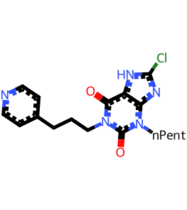 CCCCCn1c(=O)n(CCCc2ccncc2)c(=O)c2[nH]c(Cl)nc21